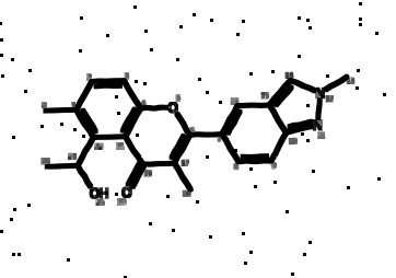 Cc1ccc2oc(-c3ccc4nn(C)cc4c3)c(C)c(=O)c2c1C(C)O